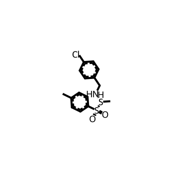 Cc1ccc(S(=O)(=O)[SH](C)NCc2ccc(Cl)cc2)cc1